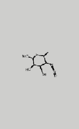 CO[C@H]1OC(C)C(N=[N+]=[N-])C(O)C1O